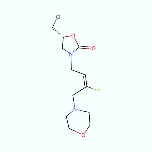 O=C1O[C@@H](CCl)CN1C/C=C(/F)CN1CCOCC1